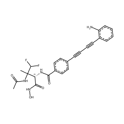 CC(=O)NC(C)(C(F)F)[C@H](NC(=O)c1ccc(C#CC#Cc2ccccc2N)cc1)C(=O)NO